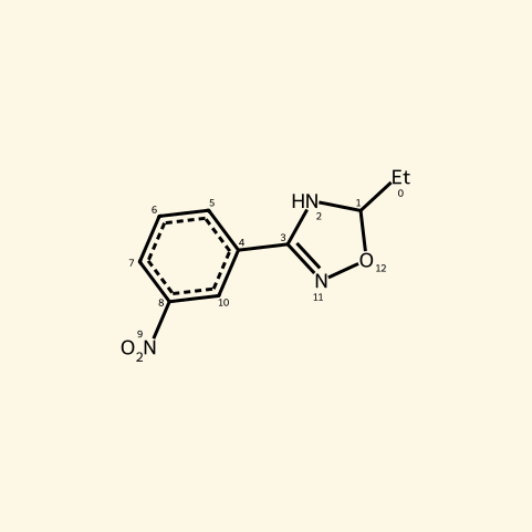 CCC1NC(c2cccc([N+](=O)[O-])c2)=NO1